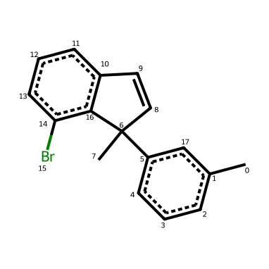 Cc1cccc(C2(C)C=Cc3cccc(Br)c32)c1